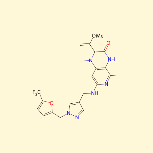 C=C(OC)C1C(=O)Nc2c(cc(NCc3cnn(Cc4ccc(C(F)(F)F)o4)c3)nc2C)N1C